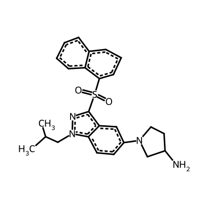 CC(C)Cn1nc(S(=O)(=O)c2cccc3ccccc23)c2cc(N3CCC(N)C3)ccc21